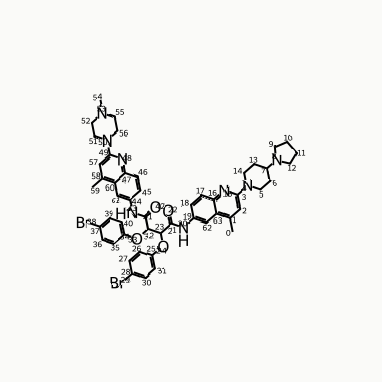 Cc1cc(N2CCC(N3CCCC3)CC2)nc2ccc(NC(=O)C(Oc3ccc(Br)cc3)C(Oc3ccc(Br)cc3)C(=O)Nc3ccc4nc(N5CCN(C)CC5)cc(C)c4c3)cc12